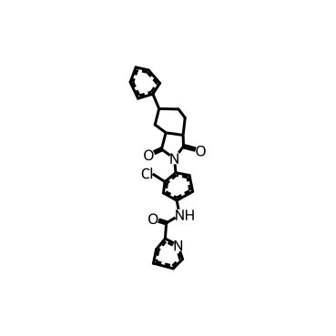 O=C(Nc1ccc(N2C(=O)C3CCC(c4ccccc4)CC3C2=O)c(Cl)c1)c1ccccn1